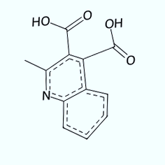 Cc1nc2ccccc2c(C(=O)O)c1C(=O)O